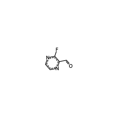 O=Cc1nccnc1F